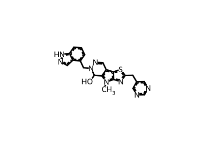 Cn1c2c(c3sc(Cc4cncnc4)nc31)C=NN(Cc1cccc3[nH]ncc13)C2O